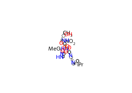 COCCOc1nc2[nH]ccc2cc1Oc1cc(N2CCC3(CC2)CC(N2CCC[C@@H]2c2ccccc2C(C)C)C3)ccc1C(=O)NS(=O)(=O)c1cc2c(c([N+](=O)[O-])c1)N[C@@H](CC1CCC(C)(O)CC1)CO2